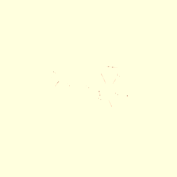 NC(=O)N1CCN(c2nc(=O)n(O)c3ncccc23)CC1